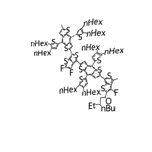 CCCCCCc1cc(-c2c3cc(-c4sc(-c5cc6c(-c7cc(CCCCCC)c(CCCCCC)s7)c7sc(-c8sc(C)c9c(F)c(C(=O)CC(CC)CCCC)sc89)cc7c(-c7cc(CCCCCC)c(CCCCCC)s7)c6s5)c5c(F)c(F)sc45)sc3c(-c3cc(CCCCCC)c(CCCCCC)s3)c3cc(C)sc23)sc1CCCCCC